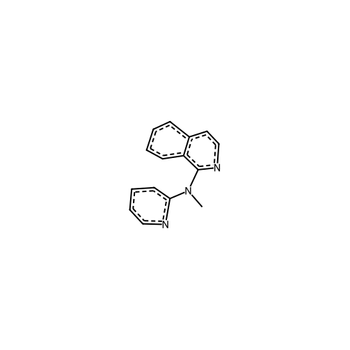 CN(c1ccccn1)c1nccc2ccccc12